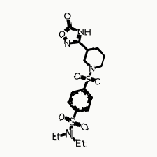 CCN(CC)S(=O)(=O)c1ccc(S(=O)(=O)N2CCCC(c3noc(=O)[nH]3)C2)cc1